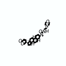 CN(C(=O)NCCN1CCOCC1)[C@H]1CC[C@@]2(C)[C@H](CC[C@H]3C4=CC[C@H](c5ccc(=O)oc5)[C@@]4(C)CC[C@@H]32)C1